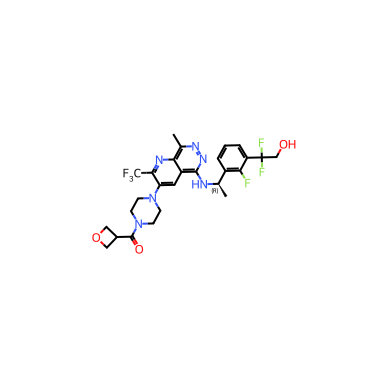 Cc1nnc(N[C@H](C)c2cccc(C(F)(F)CO)c2F)c2cc(N3CCN(C(=O)C4COC4)CC3)c(C(F)(F)F)nc12